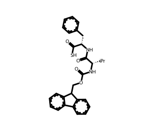 CC(C)[C@H](NC(=O)OCC1c2ccccc2-c2ccccc21)C(=O)N[C@@H](Cc1ccccc1)C(=O)S